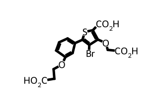 O=C(O)CCOc1cccc(-c2sc(C(=O)O)c(OCC(=O)O)c2Br)c1